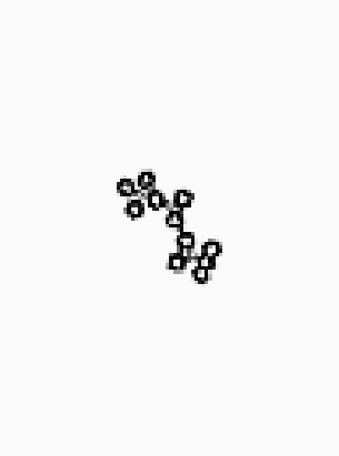 c1ccc([Si](c2ccccc2)(c2ccccc2)c2ccc(-n3c4ccccc4c4cc(-c5ccc6c(c5)c5ccccc5n6-c5c6ccccc6cc6ccccc56)ccc43)cc2)cc1